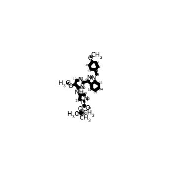 COc1ccc(Cn2nc(-c3ncc(OC)c(Nc4cnn(C(=O)OC(C)(C)C)c4)n3)c3ccccc32)cc1